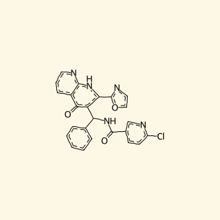 O=C(NC(c1ccccc1)c1c(-c2ncco2)[nH]c2ncccc2c1=O)c1ccc(Cl)nc1